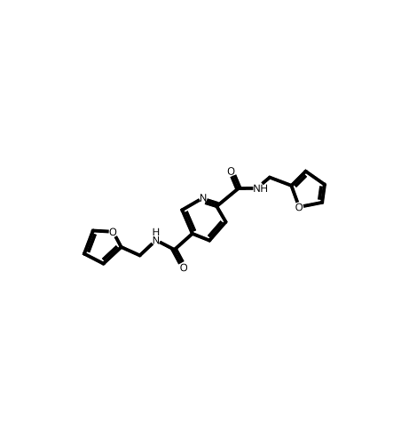 O=C(NCc1ccco1)c1ccc(C(=O)NCc2ccco2)nc1